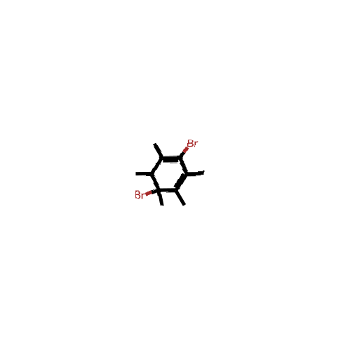 CC1=C(C)C(C)(Br)C(C)C(C)=C1Br